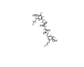 CCCCc1cc(CCC(=O)NCCNC(=O)CCc2cc(C)c(O)c(CCCC)c2)cc(C)c1O